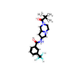 CC(C)(C)C(=O)N1CCN2CC(NC(=O)c3cccc(C(F)(F)F)c3)CC2C1